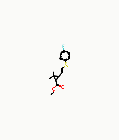 CCOC(=O)C1C(/C=C/Sc2ccc(F)cc2)C1(C)C